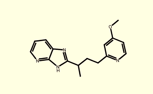 COc1ccnc(CCC(C)c2nc3cccnc3[nH]2)c1